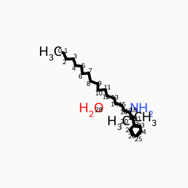 CCCCCCCCCCCCCCCCCC(N)C(C)(C)c1ccccc1.O